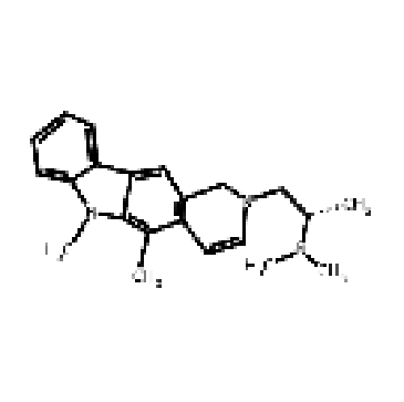 Cc1c2c(cc3c4ccccc4n(C)c13)CN(C[C@H](C)N(C)C)C=C2